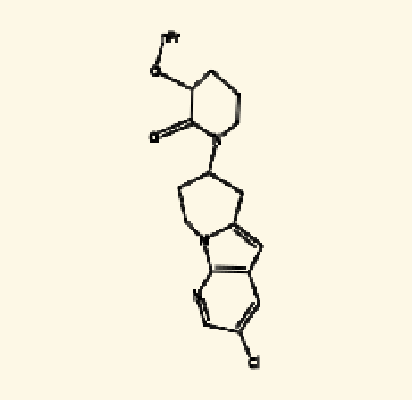 CCCOC1CCCN(C2CCn3c(cc4cc(Cl)cnc43)C2)C1=O